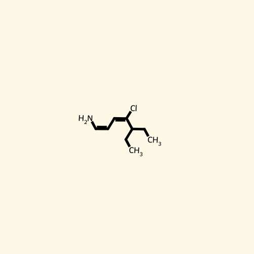 CCC(CC)/C(Cl)=C\C=C/N